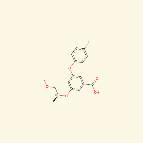 COC[C@H](C)Oc1cc(Oc2ccc(F)cc2)cc(C(=O)O)c1